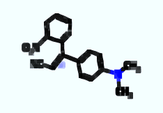 CN(C)c1ccc(/C(=C/C#N)c2ccccc2[N+](=O)[O-])cc1